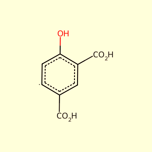 O=C(O)c1[c]cc(O)c(C(=O)O)c1